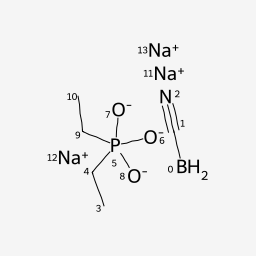 BC#N.CCP([O-])([O-])([O-])CC.[Na+].[Na+].[Na+]